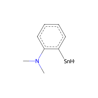 CN(C)c1cccc[c]1[SnH]